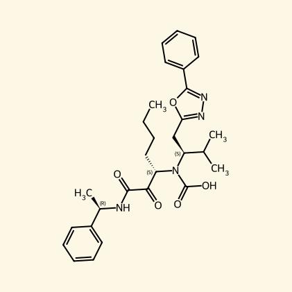 CCCC[C@@H](C(=O)C(=O)N[C@H](C)c1ccccc1)N(C(=O)O)[C@@H](Cc1nnc(-c2ccccc2)o1)C(C)C